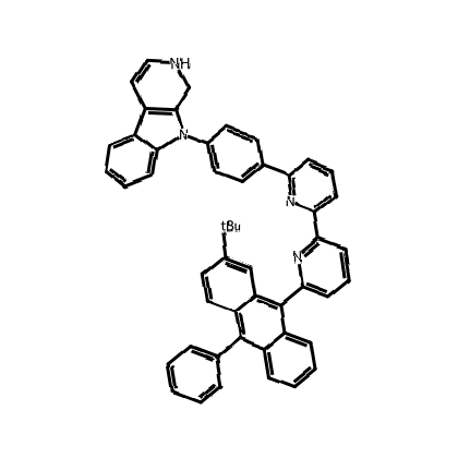 CC(C)(C)c1ccc2c(-c3ccccc3)c3ccccc3c(-c3cccc(-c4cccc(-c5ccc(-n6c7c(c8ccccc86)C=CNC7)cc5)n4)n3)c2c1